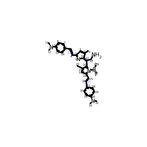 CC1=CC(/C=C/c2ccc(N(C)C)cc2)=NC/1=C(/CN)c1c(C)cc(/C=C/c2ccc(N(C)C)cc2)n1B(F)F